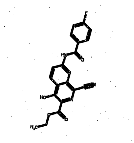 CCOC(=O)c1nc(C#N)c2cc(NC(=O)c3ccc(F)cc3)ccc2c1O